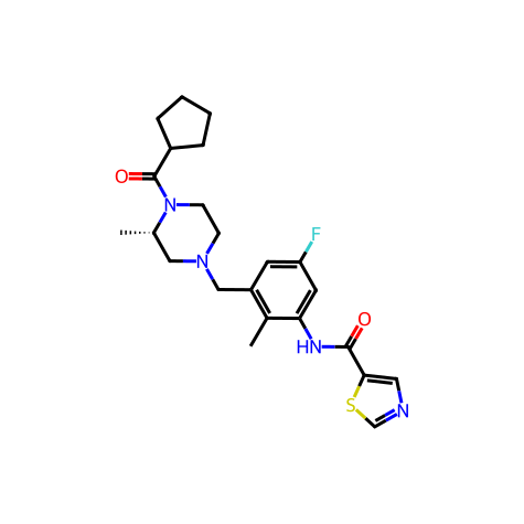 Cc1c(CN2CCN(C(=O)C3CCCC3)[C@@H](C)C2)cc(F)cc1NC(=O)c1cncs1